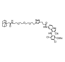 COc1cc(Nc2c(C#N)cnc3ccc(NC(=O)CCc4cn(CCOCCOCCOCCNC(=O)CC56CC7CC(CC(C7)C5)C6)nn4)cc23)c(Cl)cc1Cl